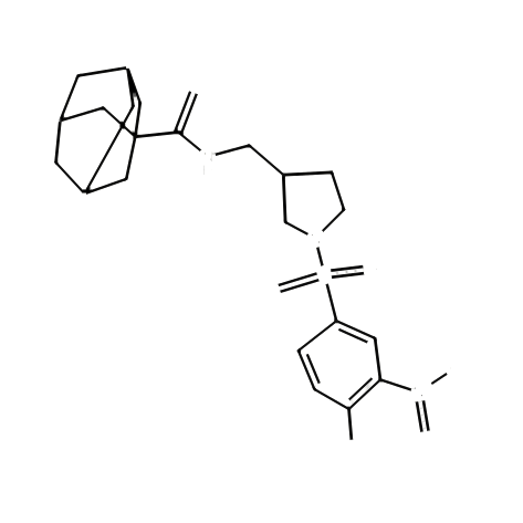 O=C(NCC1CCN(S(=O)(=O)c2ccc(Cl)c([N+](=O)[O-])c2)C1)C12CC3CC(CC(C3)C1)C2